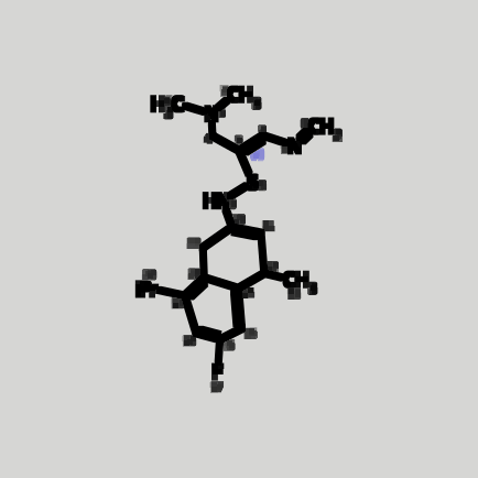 C=N/C=C(/CN(C)C)SNC1=CC(C)c2cc(F)cc(C(C)C)c2C1